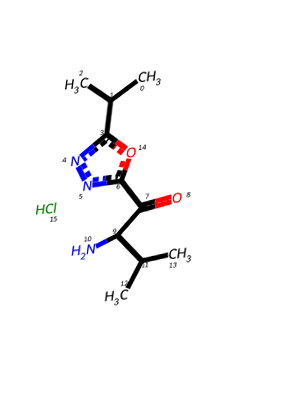 CC(C)c1nnc(C(=O)C(N)C(C)C)o1.Cl